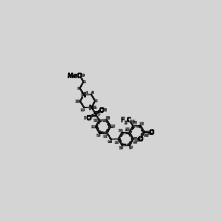 COCCN1CCN(S(=O)(=O)c2ccc(Cc3ccc4oc(=O)cc(C(F)(F)F)c4c3)cc2)CC1